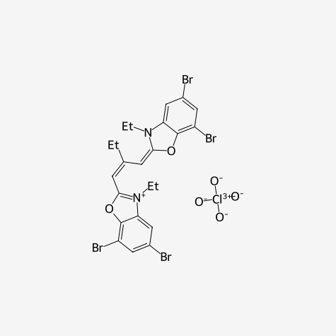 CCC(=Cc1oc2c(Br)cc(Br)cc2[n+]1CC)C=C1Oc2c(Br)cc(Br)cc2N1CC.[O-][Cl+3]([O-])([O-])[O-]